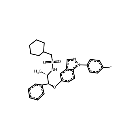 C[C@H](NS(=O)(=O)CC1CCCCC1)[C@@H](Oc1ccc2c(cnn2-c2ccc(F)cc2)c1)c1ccccc1